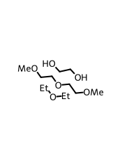 CCOCC.COCCOCCOC.OCCO